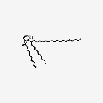 CCCCCCCCCCCCCCCCCC(CCCCCCCCC)c1[nH]cc[n+]1C(C)CCCCCCCCC